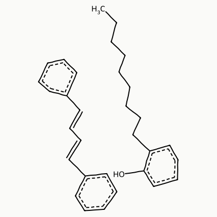 C(/C=C/c1ccccc1)=C\c1ccccc1.CCCCCCCCCc1ccccc1O